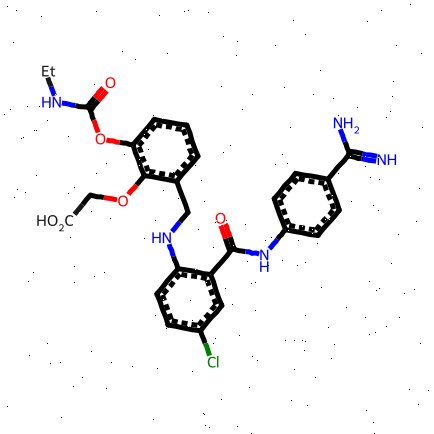 CCNC(=O)Oc1cccc(CNc2ccc(Cl)cc2C(=O)Nc2ccc(C(=N)N)cc2)c1OCC(=O)O